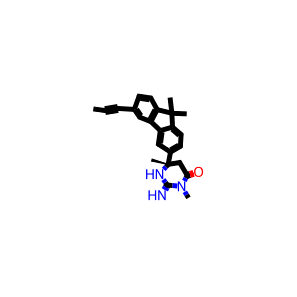 CC#Cc1ccc2c(c1)-c1cc([C@]3(C)CC(=O)N(C)C(=N)N3)ccc1C2(C)C